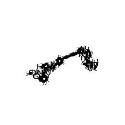 COC(=O)N[C@H](C(=O)N1CCC[C@H]1c1nc(-c2ccc(C#CC#Cc3c[nH]c([C@@H]4CCCN4C(=O)[C@@H](NC(=O)OC)C(C)C)n3)cc2)c[nH]1)c1ccccc1